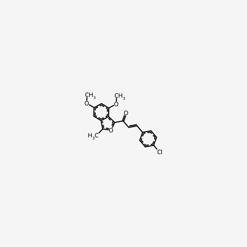 COc1cc(OC)c2c(C(=O)C=Cc3ccc(Cl)cc3)oc(C)c2c1